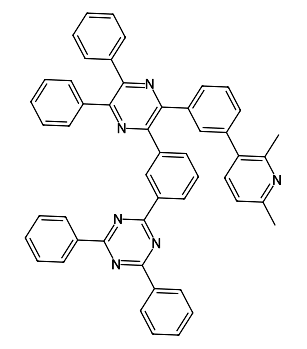 Cc1ccc(-c2cccc(-c3nc(-c4ccccc4)c(-c4ccccc4)nc3-c3cccc(-c4nc(-c5ccccc5)nc(-c5ccccc5)n4)c3)c2)c(C)n1